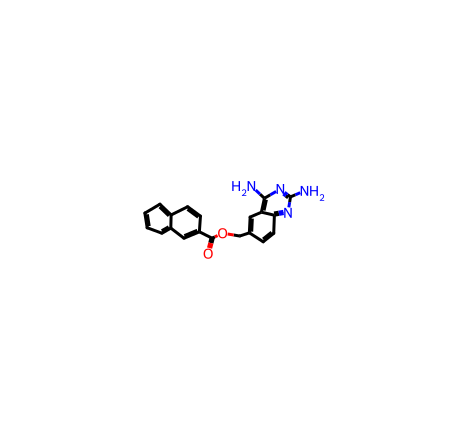 Nc1nc(N)c2cc(COC(=O)c3ccc4ccccc4c3)ccc2n1